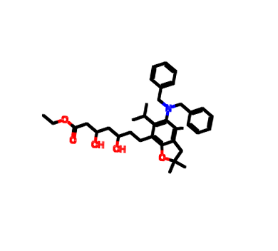 CCOC(=O)CC(O)CC(O)CCc1c2c(c(C)c(N(Cc3ccccc3)Cc3ccccc3)c1C(C)C)CC(C)(C)O2